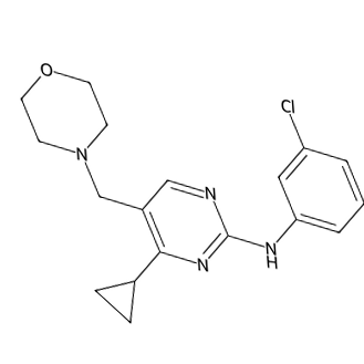 Clc1cccc(Nc2ncc(CN3CCOCC3)c(C3CC3)n2)c1